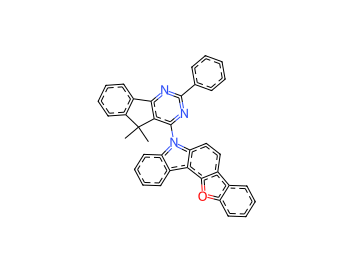 CC1(C)c2ccccc2-c2nc(-c3ccccc3)nc(-n3c4ccccc4c4c5oc6ccccc6c5ccc43)c21